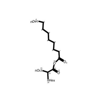 CCCCCCCCCCCCCCCCCC(=O)OC(=O)C(CCCCCC)CCCCCCCC